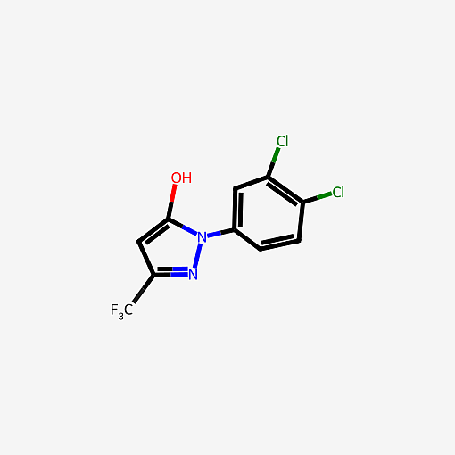 Oc1cc(C(F)(F)F)nn1-c1ccc(Cl)c(Cl)c1